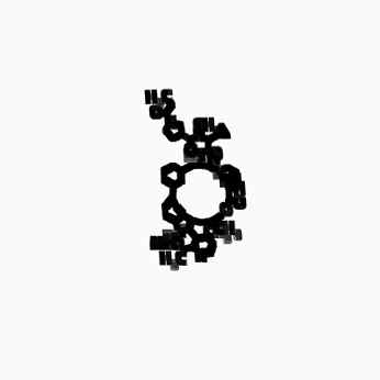 C=CC(=O)N1CC[C@H](C(=O)N(C)[C@H](C(=O)N[C@H]2Cc3cccc(c3)-c3ccc4c(c3)c(c(-c3cccnc3[C@H](C)OC)n4CC)CC(C)(C)COC(=O)[C@@H]3CCCN(N3)C2=O)C2CC2)C1